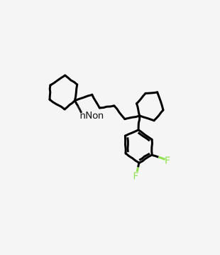 CCCCCCCCCC1(CCCCC2(c3ccc(F)c(F)c3)CCCCC2)CCCCC1